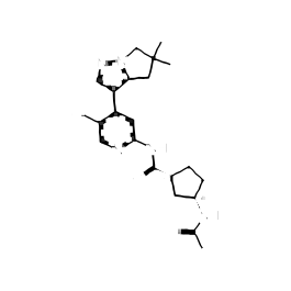 CC(=O)N[C@@H]1CC[C@H](C(=O)Nc2cc(-c3cnn4c3CC(C)(C)C4)c(Cl)cn2)C1